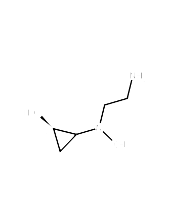 C[C@@H]1CC1N(C)CCN